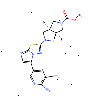 CC(C)(C)OC(=O)N1C[C@@H]2CN(c3nn4c(-c5cnc(N)c(C(F)(F)F)c5)cnc4s3)C[C@@H]2C1